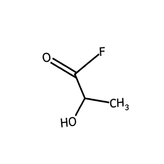 CC(O)C(=O)F